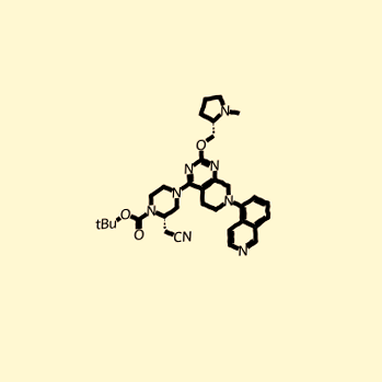 CN1CCC[C@H]1COc1nc2c(c(N3CCN(C(=O)OC(C)(C)C)[C@@H](CC#N)C3)n1)CCN(c1cccc3cnccc13)C2